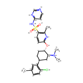 Cc1nc(O[C@H]2CC[C@H](c3cc(C(F)(F)F)ccc3Cl)C[C@@H]2N(C)C)ccc1S(=O)(=O)Nc1ccncn1